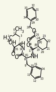 CC(C)C[C@H](NC(=O)[C@H](Cc1ccccc1)NC(=O)[C@@H]1CCCC[C@H]1C(=O)OCc1ccccc1)C(=O)O